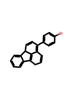 Brc1ccc(C2=C3C=CCC4=C3C(C=C2)c2ccccc24)cc1